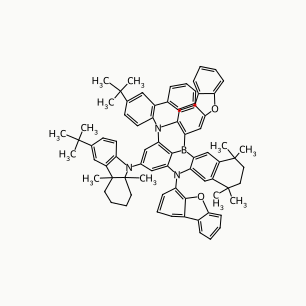 CC(C)(C)c1ccc(N2c3cc4c(cc3B3c5cc6c(cc5N(c5cccc7c5oc5ccccc57)c5cc(N7c8ccc(C(C)(C)C)cc8C8(C)CCCCC78C)cc2c53)C(C)(C)CCC6(C)C)oc2ccccc24)c(-c2ccccc2)c1